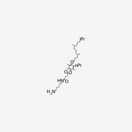 CCCc1c(C)c(OC(=O)CCC(=O)NCCCCCN)c(C)c(C)c1OCCCC(C)CCCC(C)CCCC(C)C